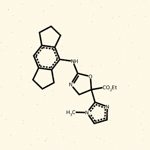 CCOC(=O)C1(c2nccn2C)CN=C(Nc2c3c(cc4c2CCC4)CCC3)O1